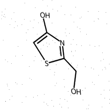 OCc1nc(O)cs1